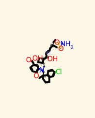 CC[C@H](C/C=C/[C@H](O)[C@@H]1CC[C@H]1CN1C[C@@]2(CCCc3cc(Cl)ccc32)COc2ccc(C(=O)O)cc21)CS(N)(=O)=O